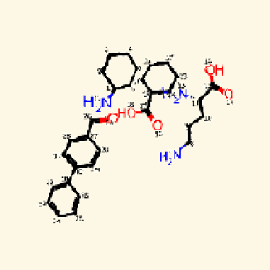 NC1CCCCC1.NCCC[C@H](N)C(=O)O.O=C(O)C1CCCCC1.O=Cc1ccc(-c2ccccc2)cc1